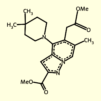 COC(=O)Cc1c(C)cn2nc(C(=O)OC)cc2c1N1CCC(C)(C)CC1